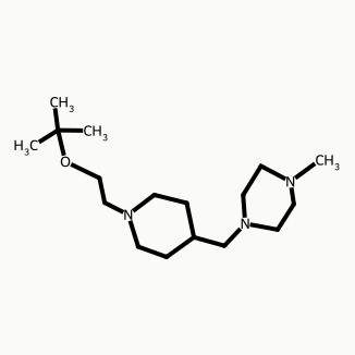 CN1CCN(CC2CCN(CCOC(C)(C)C)CC2)CC1